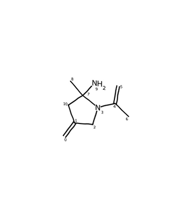 C=C1CN(C(=C)C)C(C)(N)C1